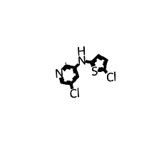 Clc1cn[c]c(Nc2ccc(Cl)s2)c1